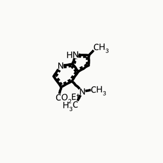 CCOC(=O)c1cnc2[nH]c(C)cc2c1N(C)C